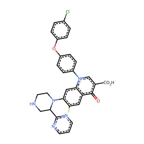 O=C(O)c1cn(-c2ccc(Oc3ccc(Cl)cc3)cc2)c2cc(N3CCNCC3c3ncccn3)c(F)cc2c1=O